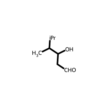 CC(C)C(C)C(O)CC=O